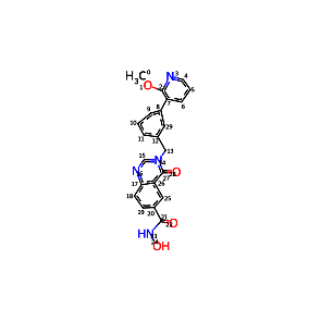 COc1ncccc1-c1cccc(Cn2cnc3ccc(C(=O)NO)cc3c2=O)c1